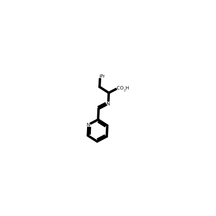 CC(C)CC(/N=C/c1ccccn1)C(=O)O